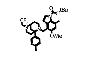 COc1cc(C)c2c(ccn2C(=O)OC(C)(C)C)c1CN1CCC2CC1(c1ccc(C)cc1)CCN2CC(F)(F)F